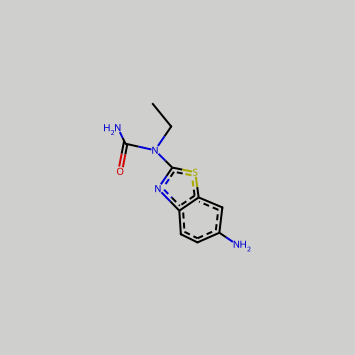 CCN(C(N)=O)c1nc2ccc(N)cc2s1